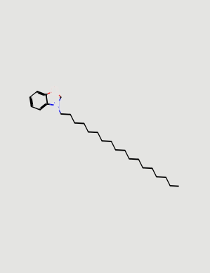 CCCCCCCCCCCCCCCCCCN1COc2ccccc21